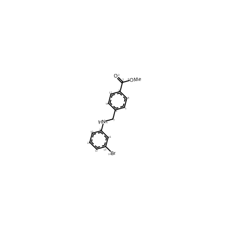 COC(=O)c1ccc(CNc2cccc(Br)c2)cc1